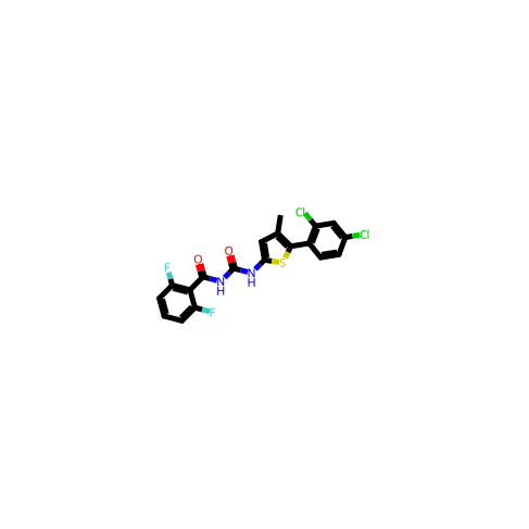 Cc1cc(NC(=O)NC(=O)c2c(F)cccc2F)sc1-c1ccc(Cl)cc1Cl